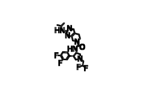 CC(C)Nc1ncc2c(n1)CN(C(=O)N[C@@H]1CN(CC(F)F)C[C@H]1c1ccc(F)c(F)c1)CC2